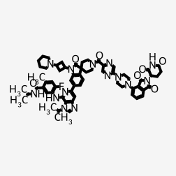 Cc1cc(F)c(Nc2nc(-c3ccc4c(c3)N(C3CC(N5CCCCC5)C3)C(=O)C43CCN(C(=O)c4cnc(N5CCN(c6cccc7c6C(=O)N(C6CCC(=O)NC6=O)C7=O)CC5)cn4)CC3)cc3ncn(C(C)C)c23)cc1C(=O)NC(C)C